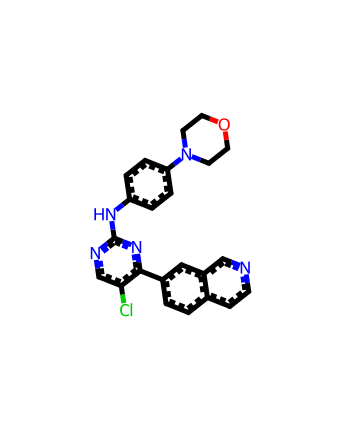 Clc1cnc(Nc2ccc(N3CCOCC3)cc2)nc1-c1ccc2ccncc2c1